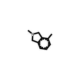 Cc1c[c]cc2c1CN(C)C2